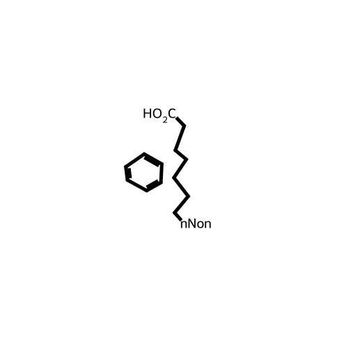 CCCCCCCCCCCCCCCC(=O)O.c1ccccc1